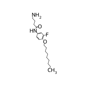 CCCCCCCCCOc1ccc(NC(=O)CCCN)cc1F